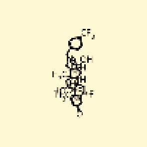 C[C@]12C=CC(=O)C=C1[C@@H](F)C[C@H]1[C@@H]3C[C@H]4CN(Cc5ccc(C(F)(F)F)cc5)C[C@@]4(C(=O)CO)[C@@]3(C)C[C@H](O)[C@@]12F